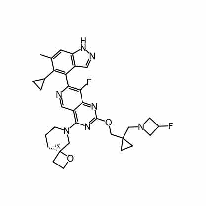 Cc1cc2[nH]ncc2c(-c2ncc3c(N4CCC[C@]5(CCO5)C4)nc(OCC4(CN5CC(F)C5)CC4)nc3c2F)c1C1CC1